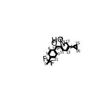 CC(F)(F)c1ccc(C(=O)C2=CC=C(C3CC3)CN2O)cc1